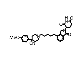 COc1ccc(C2(C#N)CCN(CCCCCc3cccc4c3CN(C3CCC(=O)NC3=O)C4=O)CC2)cc1